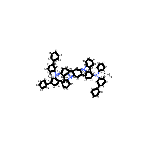 Cc1ccc(-c2ccccc2)cc1N(c1ccccc1)c1ccc2c3cc4c(cc3n3c5ccccc5c1c23)c1ccc(N(c2cc(-c3ccccc3)ccc2C)c2cc(-c3ccccc3)ccc2C)c2c3ccccc3n4c12